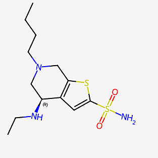 CCCCN1Cc2sc(S(N)(=O)=O)cc2[C@@H](NCC)C1